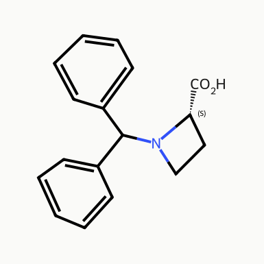 O=C(O)[C@@H]1CCN1C(c1ccccc1)c1ccccc1